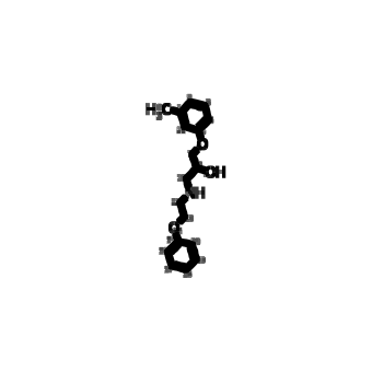 Cc1cccc(OCC(O)CNCCOc2ccccc2)c1